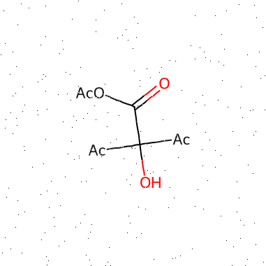 CC(=O)OC(=O)C(O)(C(C)=O)C(C)=O